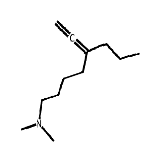 C=C=C(CCC)CCCCN(C)C